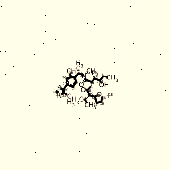 CC[C@H](O)[C@H](F)[C@H](CC(=O)[C@H](C(C)C)C1CC[C@@H](I)O1)C(=O)N(C)[C@@H](C)c1ccc(-c2scnc2C)cc1C